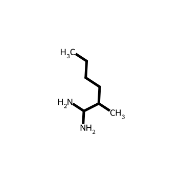 CCCCC(C)C(N)N